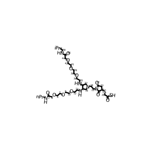 CCCNC(=O)COCCOCCOCCNC1CN(CCN2C(=O)CC(SCC(=O)S)C2=O)CC1NCCOCCOCCOCC(=O)NCC(C)C